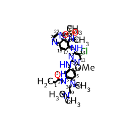 C=CC(=O)Nc1cc(Nc2ncc(Cl)c(Nc3ccc4nccnc4c3N(C)S(C)(=O)=O)n2)c(OC)cc1N(C)CCN(C)C